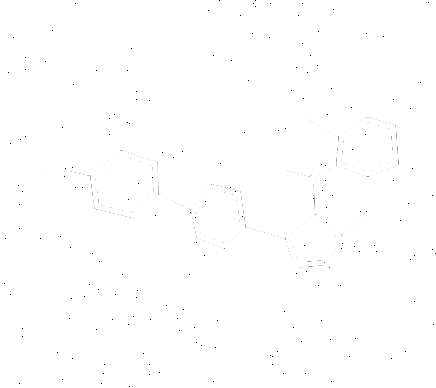 CCOC(=O)N(c1ccccc1Cl)c1c(C)noc1-c1ccc(-c2ccc(C(=O)O)cc2)cc1